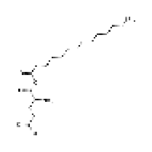 CCCCCCCCCCCCCC(=O)OC(=O)C(N)CCC(=O)O